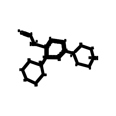 O=CNc1ccc(N2CCNCC2)cc1N1CCCCC1